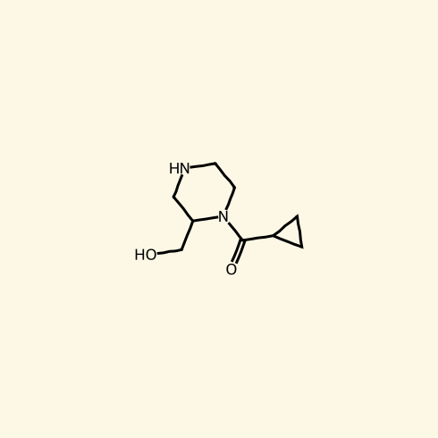 O=C(C1CC1)N1CCNCC1CO